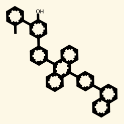 Cc1ccccc1-c1cc(-c2cccc(-c3c4ccccc4c(-c4ccc(-c5cccc6ccccc56)cc4)c4ccccc34)c2)ccc1O